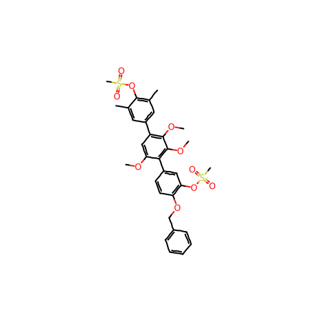 COc1cc(-c2cc(C)c(OS(C)(=O)=O)c(C)c2)c(OC)c(OC)c1-c1ccc(OCc2ccccc2)c(OS(C)(=O)=O)c1